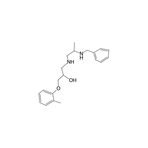 Cc1ccccc1OCC(O)CNCC(C)NCc1ccccc1